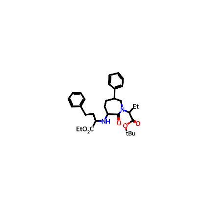 CCOC(=O)C(CCc1ccccc1)NC1CCC(c2ccccc2)CN(C(CC)C(=O)OC(C)(C)C)C1=O